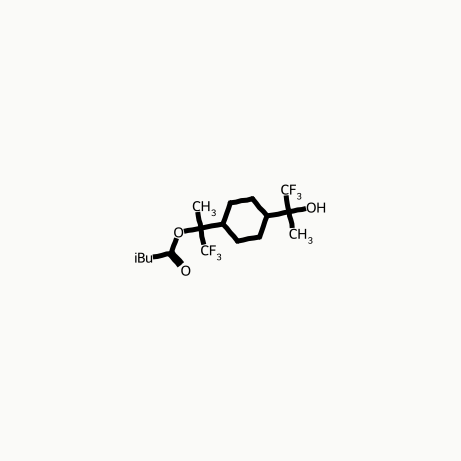 CCC(C)C(=O)OC(C)(C1CCC(C(C)(O)C(F)(F)F)CC1)C(F)(F)F